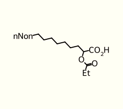 CCCCCCCCCCCCCCCCC(OC(=O)CC)C(=O)O